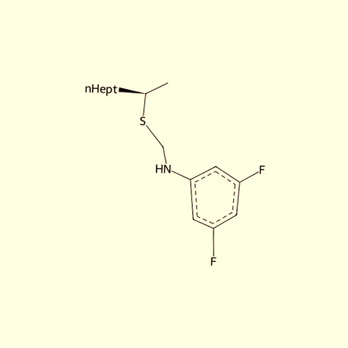 CCCCCCC[C@@H](C)SCNc1cc(F)cc(F)c1